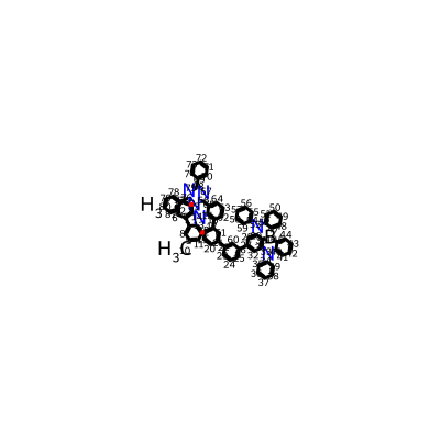 Cc1ccc2c(c1)c1cc(C)ccc1n2-c1c(-c2cccc(-c3cccc(-c4cc5c6c(c4)N(c4ccccc4)c4ccccc4B6c4ccccc4N5c4ccccc4)c3)c2)cccc1-c1nc(-c2ccccc2)nc(-c2ccccc2)n1